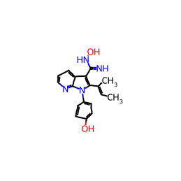 C/C=C(\C)c1c(C(=N)NO)c2cccnc2n1-c1ccc(O)cc1